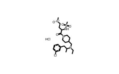 CCN(CC1CCN(C(=O)C(CC[S+](C)[O-])NS(C)(=O)=O)CC1)C(C)Cc1cccc(Cl)c1.Cl